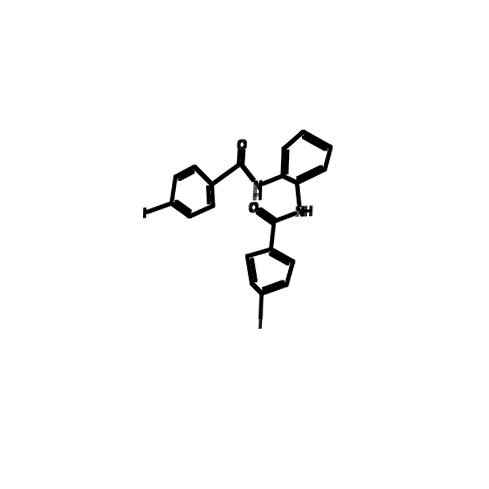 O=C(Nc1ccccc1NC(=O)c1ccc(I)cc1)c1ccc(I)cc1